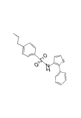 CCCc1ccc(S(=O)(=O)Nc2ccsc2-c2ccccc2)cc1